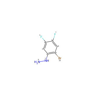 NNc1cc(F)c(F)cc1Br